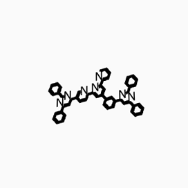 c1ccc(-c2cc(-c3ccc(-c4cc(-c5cccc(-c6cc(-c7ccccc7)nc(-c7ccccc7)n6)c5)cc(-c5ccccn5)n4)nc3)nc(-c3ccccc3)n2)cc1